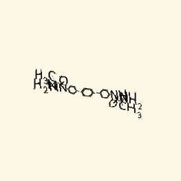 C[C@H](N)C(=O)Nc1ccc(-c2ccc(-c3ccc(NC(=O)[C@@H](C)N)cc3)cc2)cc1